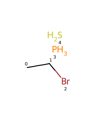 CCBr.P.S